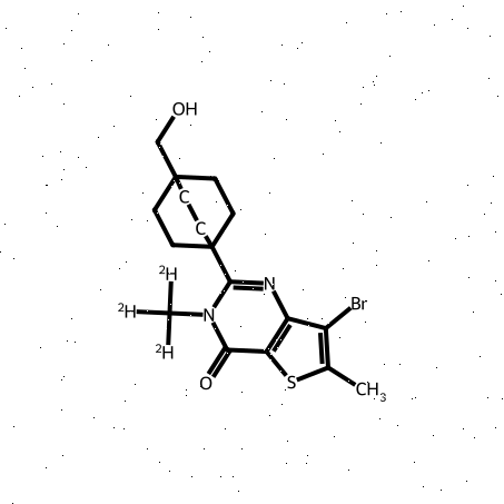 [2H]C([2H])([2H])n1c(C23CCC(CO)(CC2)CC3)nc2c(Br)c(C)sc2c1=O